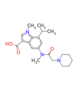 CC(C)c1cc(N(C)C(=O)CN2CCCCC2)cc2c(C(=O)O)cn(C)c12